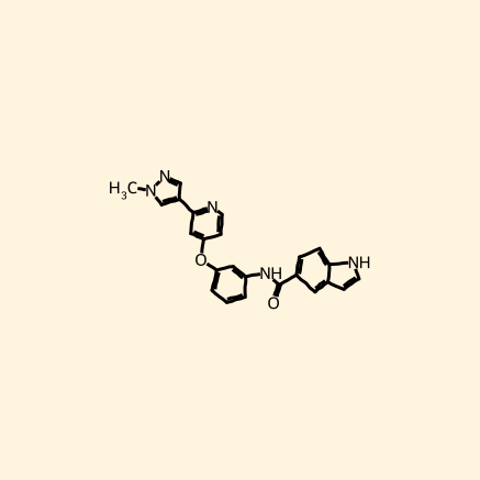 Cn1cc(-c2cc(Oc3cccc(NC(=O)c4ccc5[nH]ccc5c4)c3)ccn2)cn1